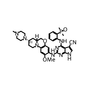 COc1cc2c(cc1Nc1nc(Nc3ccccc3P(C)(C)=O)c3c(C#N)c[nH]c3n1)OC[C@H]1C[C@@H](N3CCN(C)CC3)CCN21